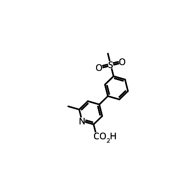 Cc1cc(-c2cccc(S(C)(=O)=O)c2)cc(C(=O)O)n1